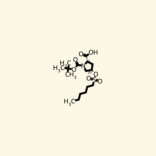 CCCCCCS(=O)(=O)O[C@H]1C[C@@H](C(=O)O)N(C(=O)OC(C)(C)C)C1